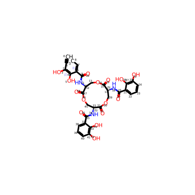 C#C/C(O)=C(O)\C(=C/C)C(=O)N[C@H]1COC(=O)[C@@H](NC(=O)c2cccc(O)c2O)COC(=O)[C@@H](NC(=O)c2cccc(O)c2O)COC1=O